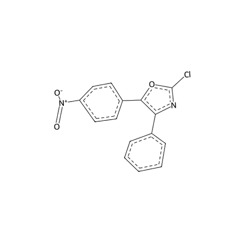 O=[N+]([O-])c1ccc(-c2oc(Cl)nc2-c2ccccc2)cc1